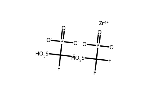 O=P([O-])([O-])C(F)(F)S(=O)(=O)O.O=P([O-])([O-])C(F)(F)S(=O)(=O)O.[Zr+4]